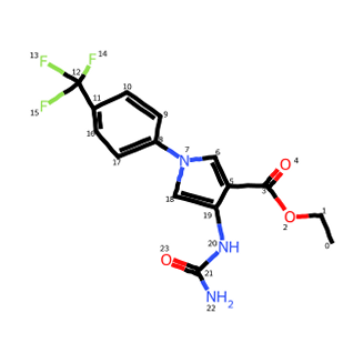 CCOC(=O)c1cn(-c2ccc(C(F)(F)F)cc2)cc1NC(N)=O